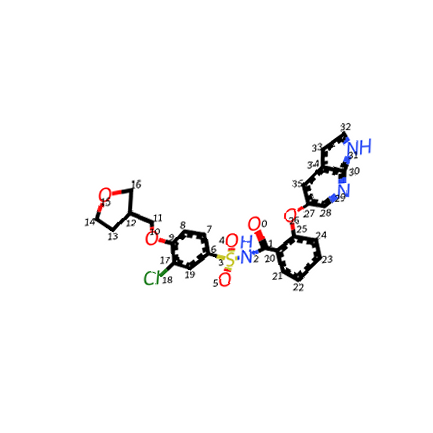 O=C(NS(=O)(=O)c1ccc(OCC2CCOC2)c(Cl)c1)c1ccccc1Oc1cnc2[nH]ccc2c1